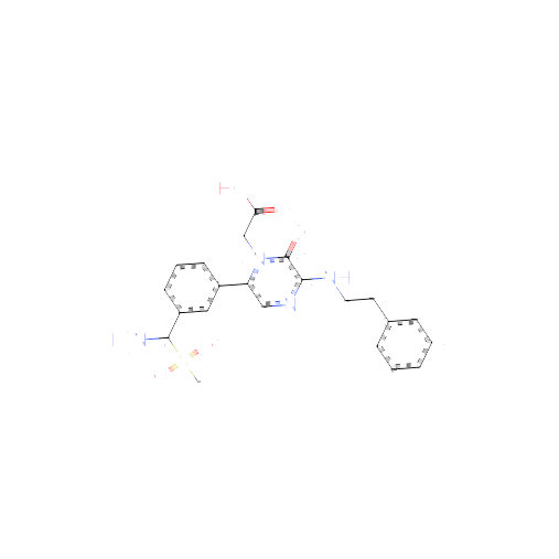 CS(=O)(=O)C(N)c1cccc(-c2cnc(NCCc3ccccc3)c(=O)n2CC(=O)O)c1